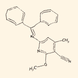 COc1nc(N=C(c2ccccc2)c2ccccc2)cc(C)c1C#N